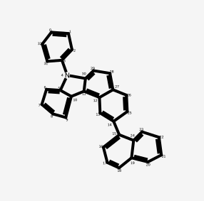 c1ccc(-n2c3ccccc3c3c4cc(-c5cccc6ccccc56)ccc4ccc32)cc1